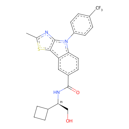 Cc1nc2c(s1)c1cc(C(=O)N[C@@H](CO)C3CCC3)ccc1n2-c1ccc(C(F)(F)F)cc1